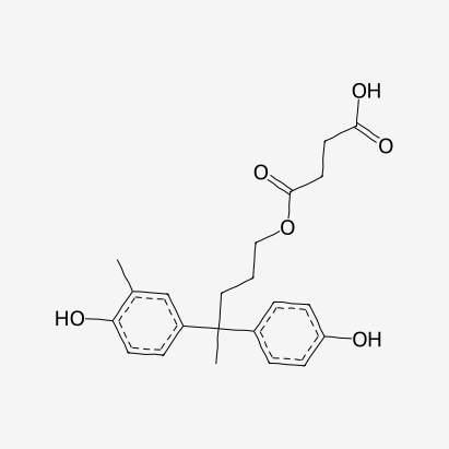 Cc1cc(C(C)(CCCOC(=O)CCC(=O)O)c2ccc(O)cc2)ccc1O